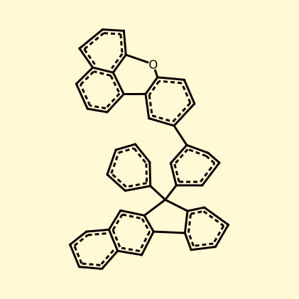 c1ccc(C2(c3cccc(-c4ccc5c(c4)-c4cccc6cccc(c46)O5)c3)c3ccccc3-c3cc4ccccc4cc32)cc1